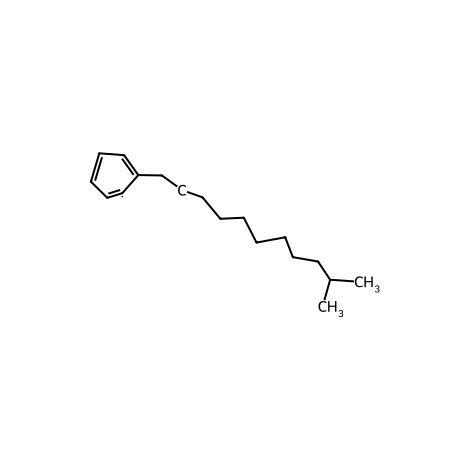 CC(C)CCCCCCCCCc1[c]cccc1